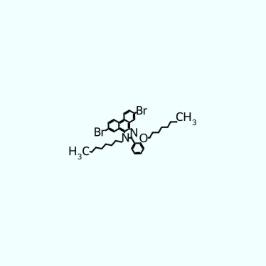 CCCCCCCCOc1ccccc1-c1nc2c3cc(Br)ccc3c3ccc(Br)cc3c2n1CCCCCCCC